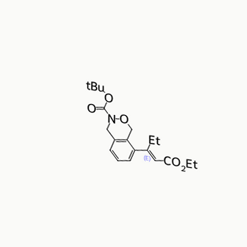 CCOC(=O)/C=C(\CC)c1cccc2c1CON(C(=O)OC(C)(C)C)C2